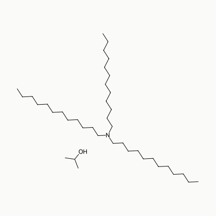 CC(C)O.CCCCCCCCCCCCN(CCCCCCCCCCCC)CCCCCCCCCCCC